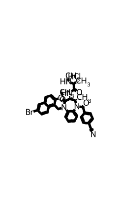 CNC(C)C(=O)N[C@@H]1C(=O)N(Cc2c(OC)ccc3cc(Br)ccc23)c2ccccc2N(C(=O)c2ccc(C#N)cc2)[C@H]1C.Cl